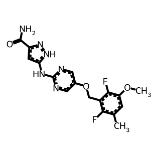 COc1cc(C)c(F)c(COc2cnc(Nc3cc(C(N)=O)n[nH]3)nc2)c1F